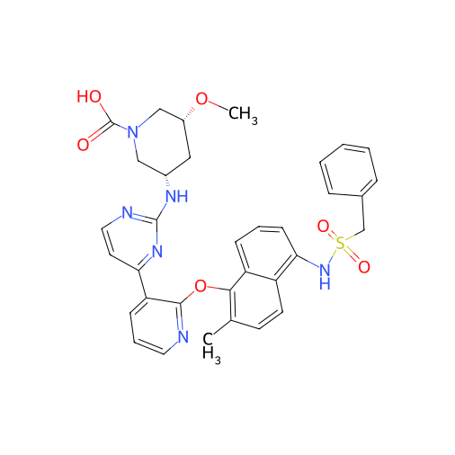 CO[C@@H]1C[C@H](Nc2nccc(-c3cccnc3Oc3c(C)ccc4c(NS(=O)(=O)Cc5ccccc5)cccc34)n2)CN(C(=O)O)C1